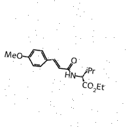 CCOC(=O)[C@@H](NC(=O)/C=C/c1ccc(OC)cc1)C(C)C